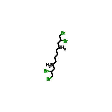 BrCC(Br)C[SiH2]CCCC[SiH2]CC(Br)CBr